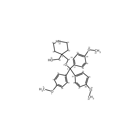 COc1ccc(C(OCC2(CO)CCNCC2)(c2ccc(OC)cc2)c2ccc(OC)cc2)cc1